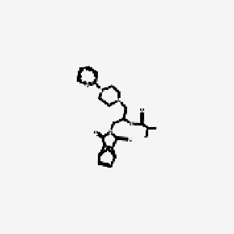 CC(C)C(=O)OC(CN1CCN(c2ccccn2)CC1)CN1C(=O)C2C3C=CC(C3)C2C1=O